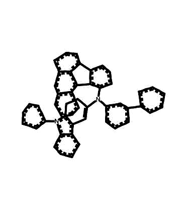 C1=C(N(c2cccc(-c3ccccc3)c2)c2cccc3c2-c2c4ccccc4cc4cccc-3c24)CCc2c1c1ccccc1n2-c1ccccc1